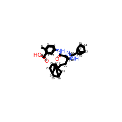 Cc1ccc(NC(=O)c2nc(C3CC4C=CC3C4)[nH]c2CCC23CC4CC(CC(C4)C2)C3)cc1C(=O)O